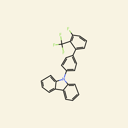 Fc1cccc(-c2ccc(-n3c4ccccc4c4ccccc43)cc2)c1C(F)(F)F